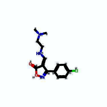 CN(C)CCN/C=C1\C(=O)ON=C1c1ccc(Cl)cc1